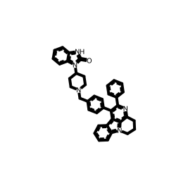 O=c1[nH]c2ccccc2n1C1CCN(Cc2ccc(-c3c(-c4ccccc4)nc4c5c3c3ccccc3n5CCC4)cc2)CC1